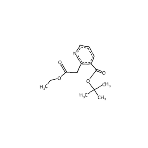 CCOC(=O)Cc1ncccc1C(=O)OC(C)(C)C